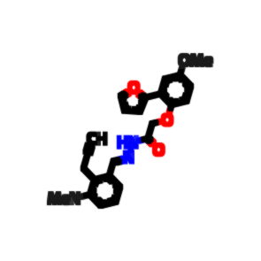 C#CCc1c(/C=N/NC(=O)COc2ccc(OC)cc2-c2ccco2)cccc1NC